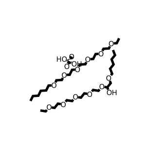 CCCCCCOCC(O)OCCOCCOCCOCCOCC.CCCCCCOCCOCCOCCOCCOCCOCC.O=S(=O)(O)O